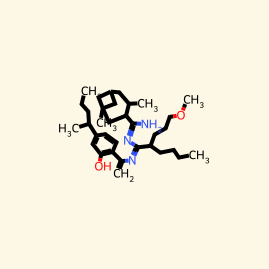 C=C(/N=C(\N=C(/N)C1CC2(C)CC(CC1C)C2)C(CCCC)CCCOC)c1ccc(C(C)CCC)cc1O